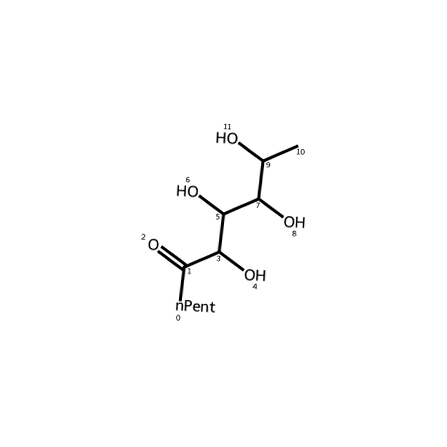 CCCCCC(=O)C(O)C(O)C(O)C(C)O